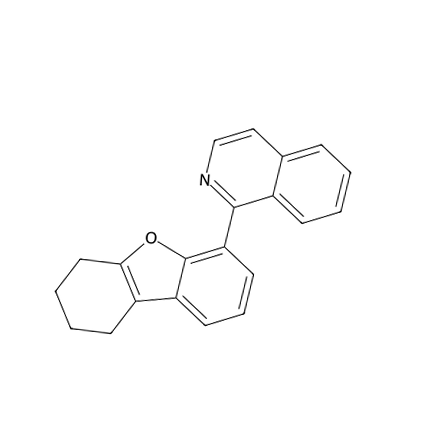 c1ccc2c(-c3cccc4c5c(oc34)CCCC5)nccc2c1